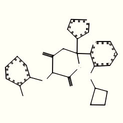 O=C1CC(c2ccsc2)(c2ncccc2OC2CCC2)NC(=O)C1Sc1ccccc1Cl